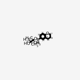 CC(C)(O)C(C)(C)OBc1ccc2c(c1)CCCO2